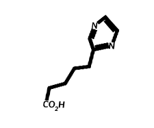 O=C(O)CCCCc1cnccn1